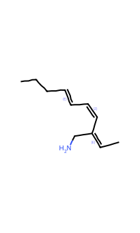 C\C=C(/C=C\C=C\CCC)CN